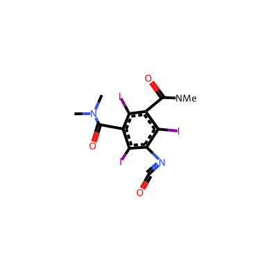 CNC(=O)c1c(I)c(N=C=O)c(I)c(C(=O)N(C)C)c1I